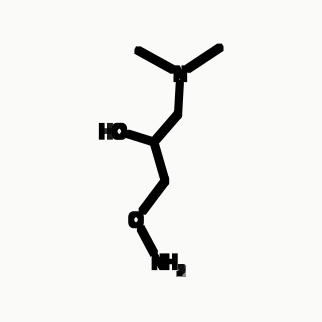 CN(C)CC(O)CON